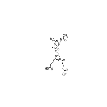 CC(=O)OC[C@H](COP(=O)(O)OCC(COC(=O)CCCC(=O)O)OC(=O)CCCC(=O)O)OC(C)=O